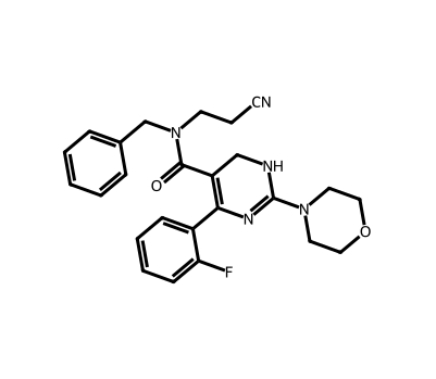 N#CCCN(Cc1ccccc1)C(=O)C1=C(c2ccccc2F)N=C(N2CCOCC2)NC1